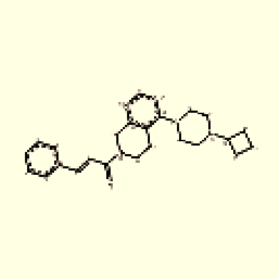 O=C(C=Cc1ccccc1)N1CCc2c(ncnc2N2CCN(C3CCC3)CC2)C1